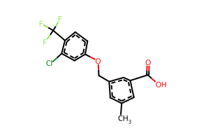 Cc1cc(COc2ccc(C(F)(F)F)c(Cl)c2)cc(C(=O)O)c1